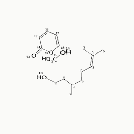 CC(C)=CCCC(C)CCO.O=C(O)O.O=c1cccco1